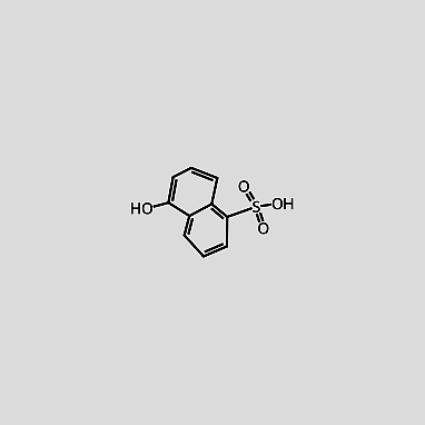 O=S(=O)(O)c1cccc2c(O)cccc12